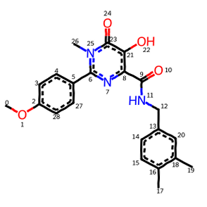 COc1ccc(-c2nc(C(=O)NCc3ccc(C)c(C)c3)c(O)c(=O)n2C)cc1